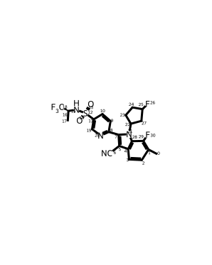 Cc1ccc2c(C#N)c(-c3ccc(S(=O)(=O)N[C@@H](C)C(F)(F)F)cn3)n(C3CCC(F)C3)c2c1F